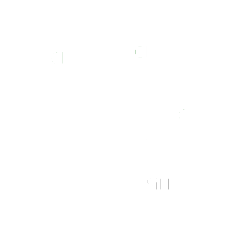 [SiH3]C(Cl)C=C(Cl)Cl